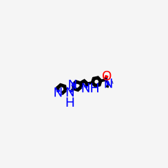 CN(C)C(=O)c1ccc(-c2cc3cnc(Nc4cccnc4)cc3[nH]2)cc1